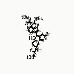 CC(C)(C)OC(=O)N[C@@H]1CCCN(c2cnc(Br)cc2C(O)c2cnc3c(N(C(=O)OC(C)(C)C)C(=O)OC(C)(C)C)nccn23)C1